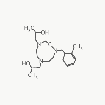 CC1=CC=CCC1CN1CCN(CC(C)O)CCN(CC(C)O)CC1